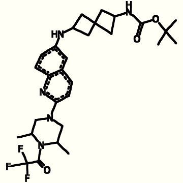 CC1CN(c2ccc3cc(NC4CC5(CC(NC(=O)OC(C)(C)C)C5)C4)ccc3n2)CC(C)N1C(=O)C(F)(F)F